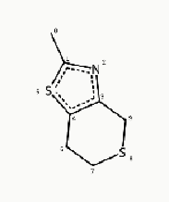 Cc1nc2c(s1)CCSC2